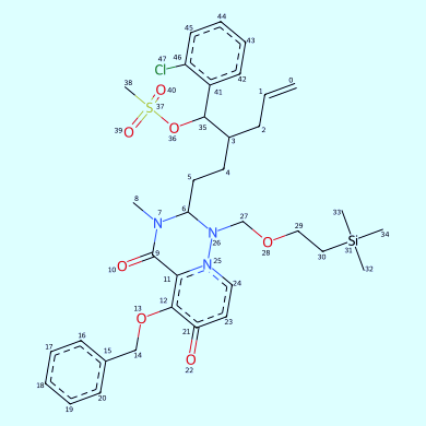 C=CCC(CCC1N(C)C(=O)c2c(OCc3ccccc3)c(=O)ccn2N1COCC[Si](C)(C)C)C(OS(C)(=O)=O)c1ccccc1Cl